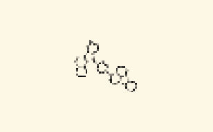 c1ccc2c(c1)-c1cccc3c(-c4ccc(-n5c6ccncc6c6ccc7ccccc7c65)cc4)ccc-2c13